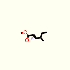 CCC(C)/C=C/C(=O)OC